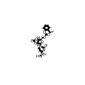 C[C@@H](OC(=O)OC[C@H]1O[C@@H](n2ccc(NO)nc2=O)[C@@H]2OC(=O)O[C@@H]21)c1ccccc1